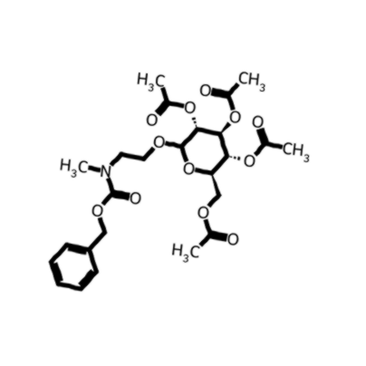 CC(=O)OC[C@H]1OC(OCCN(C)C(=O)OCc2ccccc2)[C@H](OC(C)=O)[C@@H](OC(C)=O)[C@@H]1OC(C)=O